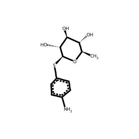 C[C@H]1O[C@@H](Sc2ccc(N)cc2)[C@H](O)[C@@H](O)[C@@H]1O